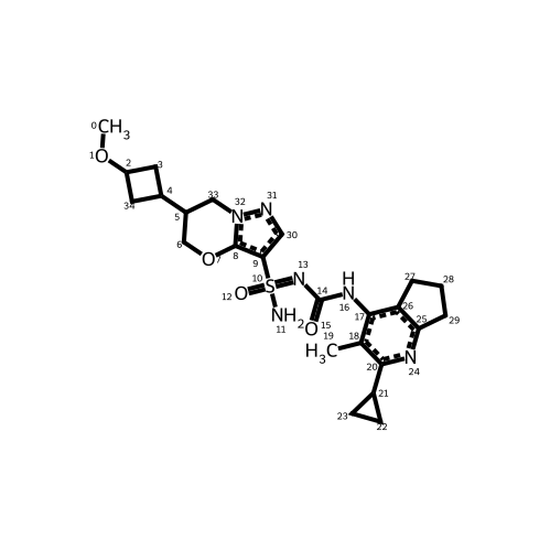 COC1CC(C2COc3c(S(N)(=O)=NC(=O)Nc4c(C)c(C5CC5)nc5c4CCC5)cnn3C2)C1